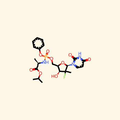 CC(C)OC(=O)[C@@H](C)NP(=O)(OCC1O[C@@H](n2ccc(=O)[nH]c2=O)C(C)(F)[C@H]1O)Oc1ccccc1